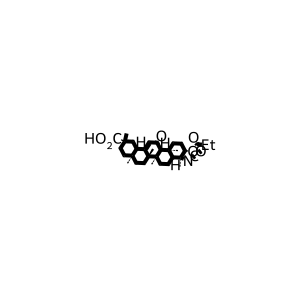 CCC(=O)O[C@H]1CC[C@@]2(C)[C@@H](CC[C@]3(C)[C@@H]2C(=O)C=C2[C@@H]4C[C@@](C)(C(=O)O)CC[C@]4(C)CC[C@]23C)[C@]1(C)N=C=O